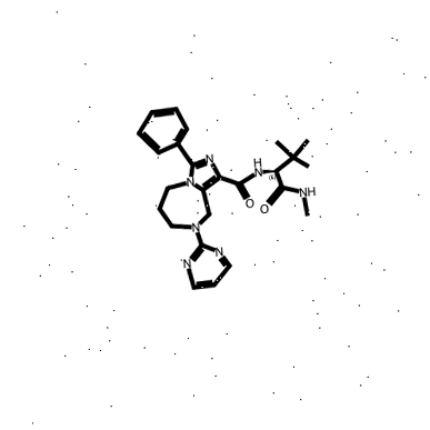 CNC(=O)[C@@H](NC(=O)c1nc(-c2ccccc2)n2c1CN(c1ncccn1)CCC2)C(C)(C)C